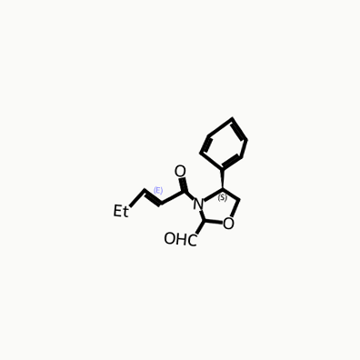 CC/C=C/C(=O)N1C(C=O)OC[C@@H]1c1ccccc1